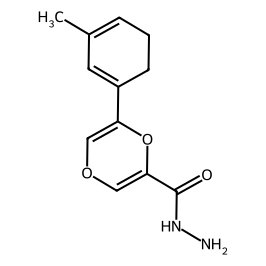 CC1=CCCC(C2=COC=C(C(=O)NN)O2)=C1